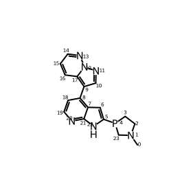 CN1CCP(c2cc3c(-c4cnn5ncccc45)ccnc3[nH]2)C1